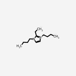 CCCCn1cc[n+](CCCC)c1CC